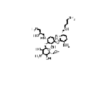 NCCCNC[C@@H]1CC[C@@H](N)[C@@H](OC2[C@@H](N)C[C@@H](NCC(O)CN)[C@H](O[C@H]3O[C@H](CO)[C@@H](O)[C@H](N)[C@H]3O)[C@H]2O)O1